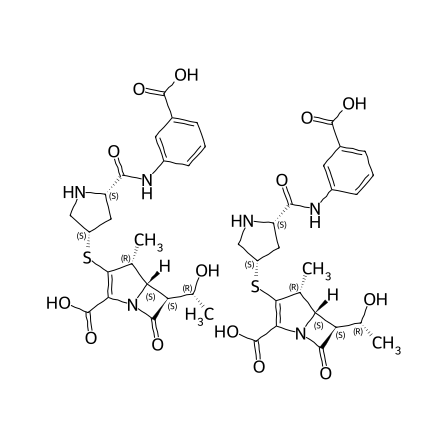 C[C@@H](O)[C@H]1C(=O)N2C(C(=O)O)=C(S[C@@H]3CN[C@H](C(=O)Nc4cccc(C(=O)O)c4)C3)[C@H](C)[C@H]12.C[C@@H](O)[C@H]1C(=O)N2C(C(=O)O)=C(S[C@@H]3CN[C@H](C(=O)Nc4cccc(C(=O)O)c4)C3)[C@H](C)[C@H]12